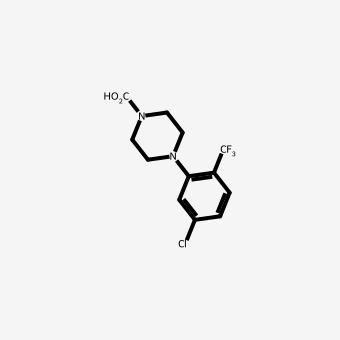 O=C(O)N1CCN(c2cc(Cl)ccc2C(F)(F)F)CC1